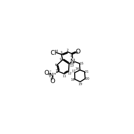 O=c1cc(Cl)c2cc([N+](=O)[O-])ccc2n1CC1CCCCC1